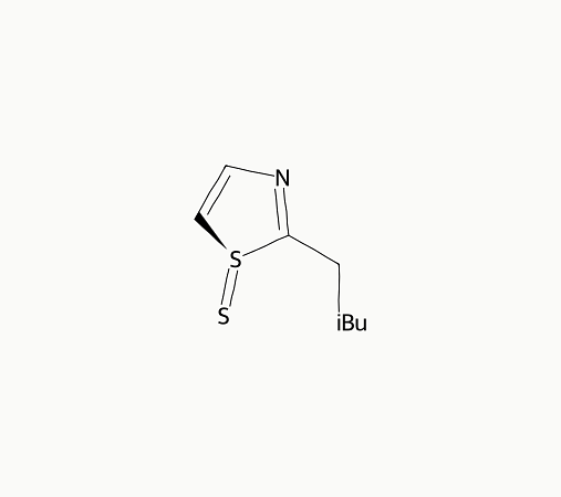 CCC(C)CC1=NC=C[S@@]1=S